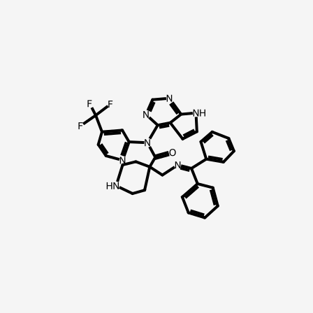 O=C(N(c1cc(C(F)(F)F)ccn1)c1ncnc2[nH]ccc12)C1(CN=C(c2ccccc2)c2ccccc2)CCNCC1